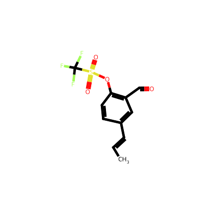 C/C=C/c1ccc(OS(=O)(=O)C(F)(F)F)c(C=O)c1